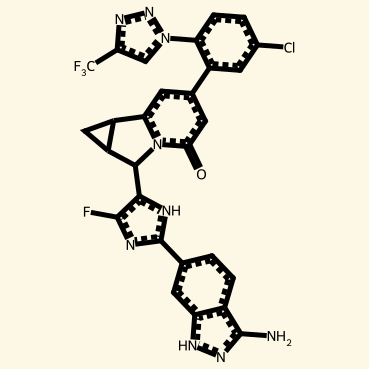 Nc1n[nH]c2cc(-c3nc(F)c(C4C5CC5c5cc(-c6cc(Cl)ccc6-n6cc(C(F)(F)F)nn6)cc(=O)n54)[nH]3)ccc12